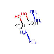 NN.NN.O=S(=O)(O)O.O=S(=O)(O)O